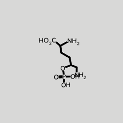 NCC(CCC(N)C(=O)O)OP(=O)(O)O